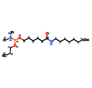 CCCCCCCCCCCCCCCCNC(=O)CCCCCOP(OCCC#N)N(C(C)C)C(C)C